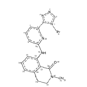 CC(C)n1cnnc1-c1cccc(Nc2cccc3c2C(=O)N(C)CC3)n1